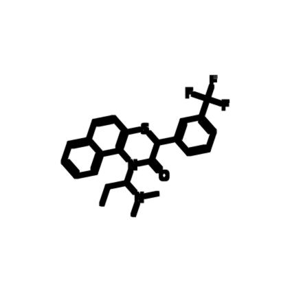 CCC(N(C)C)N1C(=O)C(c2cccc(C(F)(F)F)c2)Sc2ccc3ccccc3c21